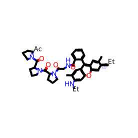 CC/C=c1/cc2c(cc1C)=C(c1ccccc1C(=O)NCC(=O)N1CCCC1C(=O)N1CCCC1C(=O)N1CCCC1C(C)=O)c1cc(C)c(NCC)cc1O2